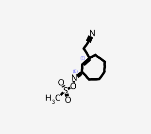 CS(=O)(=O)O/N=C1/C=C(/CC#N)CCCCC1